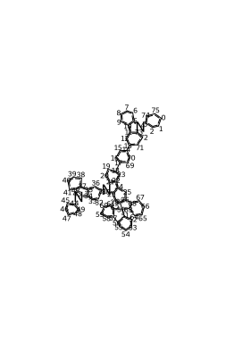 c1ccc(-n2c3ccccc3c3cc(-c4ccc(-c5ccc6c(c5)c5cc7c(cc5n6-c5ccc6c(c5)c5ccccc5n6-c5ccccc5)C5(c6ccccc6-c6ccccc65)c5ccccc5-7)cc4)ccc32)cc1